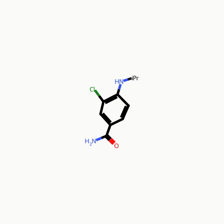 CC(C)Nc1ccc(C(N)=O)cc1Cl